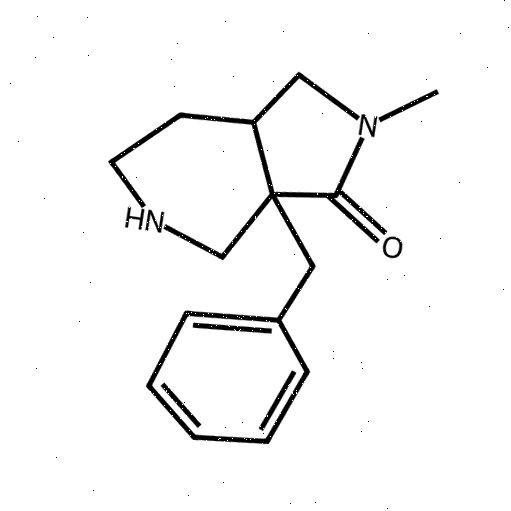 CN1CC2CCNCC2(Cc2ccccc2)C1=O